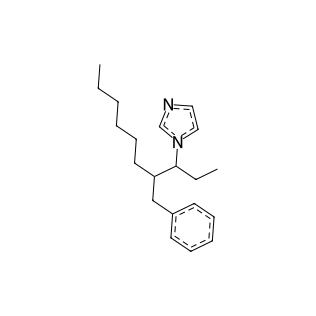 CCCCCCC(Cc1ccccc1)C(CC)n1ccnc1